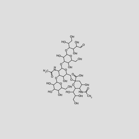 CC(=O)NC1C(O)CC(OCC2OC(OC3C(O)C(CO)OC(OC(C(O)CO)C(O)C(O)C=O)C3O)C(NC(C)=O)C(OC3OC(CO)C(O)C(O)C3O)C2O)(C(=O)O)OC1C(O)C(O)CO